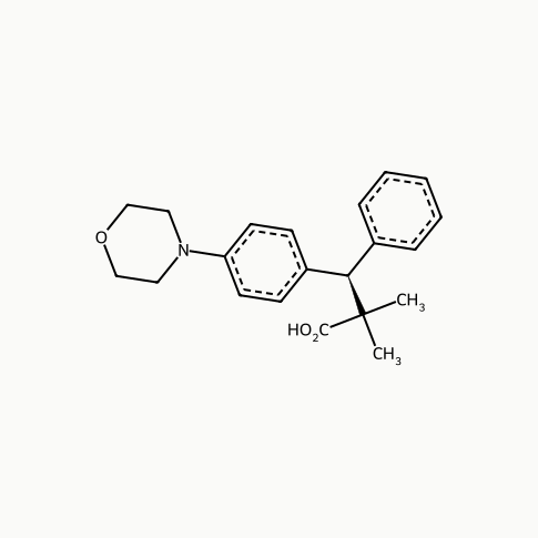 CC(C)(C(=O)O)[C@H](c1ccccc1)c1ccc(N2CCOCC2)cc1